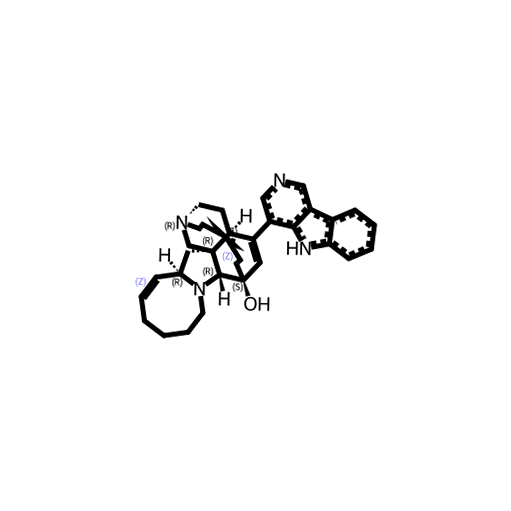 O[C@]12C=C(c3cncc4c3[nH]c3ccccc34)[C@@H]3CC[N@](CCCC/C=C\CC1)C[C@@]31C[C@@H]3/C=C\CCCCN3[C@H]12